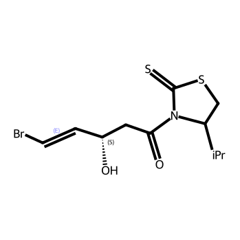 CC(C)C1CSC(=S)N1C(=O)C[C@H](O)/C=C/Br